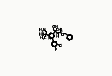 CC(O)(CN)c1cc(C(C)(CO)NC(=O)OCc2ccccc2)cc(-c2ccc(F)c(Cl)c2)n1